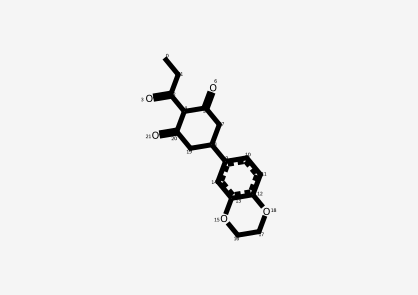 CCC(=O)C1C(=O)CC(c2ccc3c(c2)OCCO3)CC1=O